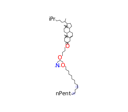 CCCCC/C=C\C/C=C\CCCCCCCCOCC(CN(C)C)OCCCCO[C@H]1CC[C@@]2(C)C(=CCC3C4CCC(C(C)CCCC(C)C)[C@@]4(C)CCC32)C1